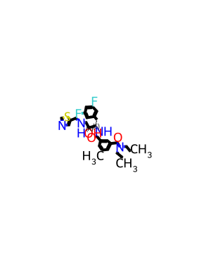 CCCN(CCC)C(=O)c1cc(C)cc(C(=O)N[C@@H](Cc2cc(F)cc(F)c2)[C@H](O)CNCc2cncs2)c1